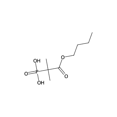 CCCCOC(=O)C(C)(C)P(=O)(O)O